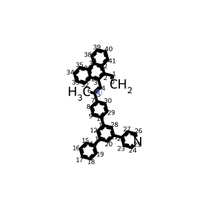 C=Cc1c(/C=C(\C)c2ccc(-c3cc(-c4ccccc4)cc(-c4ccncc4)c3)cc2)c2ccccc2c2ccccc12